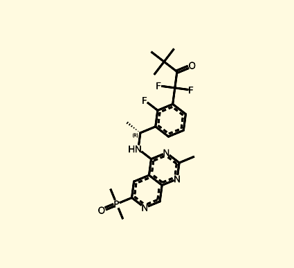 Cc1nc(N[C@H](C)c2cccc(C(F)(F)C(=O)C(C)(C)C)c2F)c2cc(P(C)(C)=O)ncc2n1